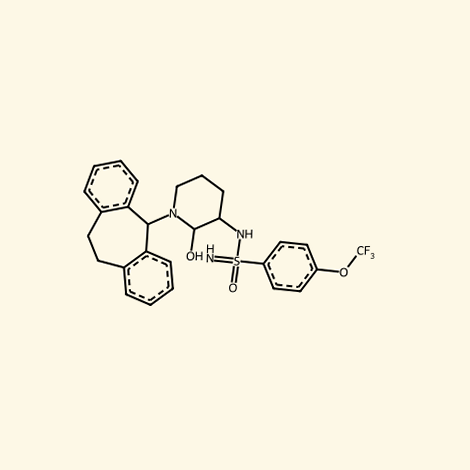 N=S(=O)(NC1CCCN(C2c3ccccc3CCc3ccccc32)C1O)c1ccc(OC(F)(F)F)cc1